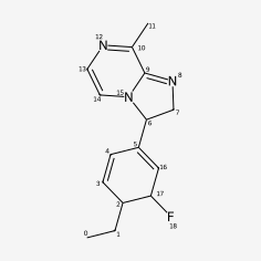 CCC1C=CC(C2CN=C3C(C)=NC=CN32)=CC1F